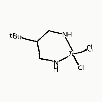 CC(C)(C)C1C[NH][Ti]([Cl])([Cl])[NH]C1